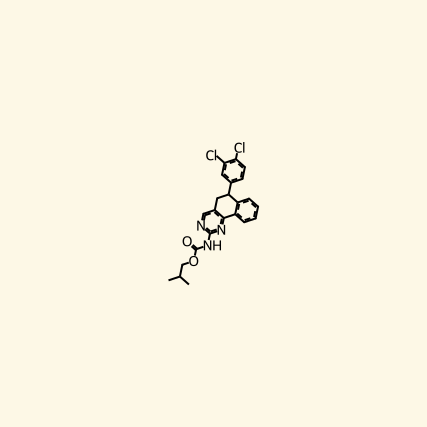 CC(C)COC(=O)Nc1ncc2c(n1)-c1ccccc1C(c1ccc(Cl)c(Cl)c1)C2